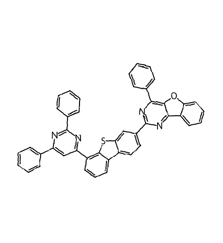 c1ccc(-c2cc(-c3cccc4c3sc3cc(-c5nc(-c6ccccc6)c6oc7ccccc7c6n5)ccc34)nc(-c3ccccc3)n2)cc1